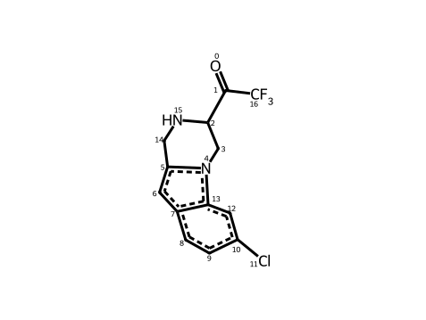 O=C(C1Cn2c(cc3ccc(Cl)cc32)CN1)C(F)(F)F